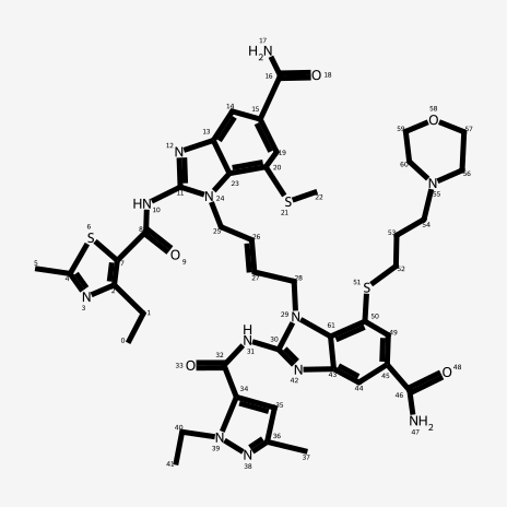 CCc1nc(C)sc1C(=O)Nc1nc2cc(C(N)=O)cc(SC)c2n1C/C=C/Cn1c(NC(=O)c2cc(C)nn2CC)nc2cc(C(N)=O)cc(SCCCN3CCOCC3)c21